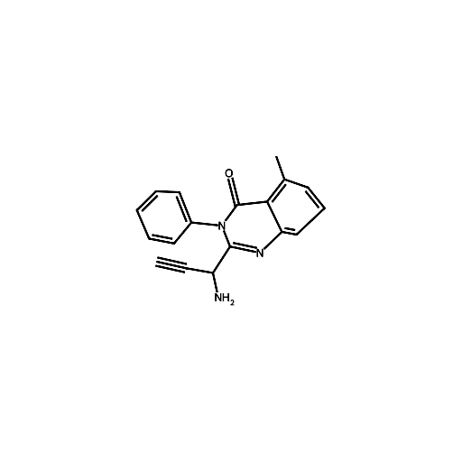 C#CC(N)c1nc2cccc(C)c2c(=O)n1-c1ccccc1